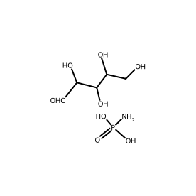 NP(=O)(O)O.O=CC(O)C(O)C(O)CO